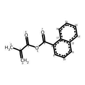 C=C(C)C(=O)OC(=O)c1cccc2ccccc12